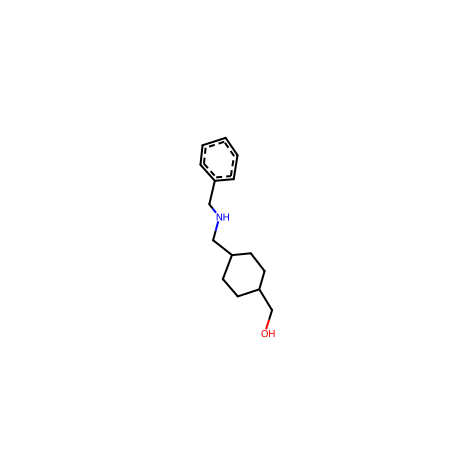 OCC1CCC(CNCc2ccccc2)CC1